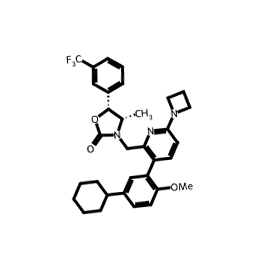 COc1ccc(C2CCCCC2)cc1-c1ccc(N2CCC2)nc1CN1C(=O)O[C@H](c2cccc(C(F)(F)F)c2)[C@@H]1C